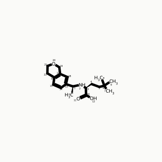 C[C@H](N[C@@H](CCC(C)(C)C)C(=O)O)c1ccc2c(c1)COCC2